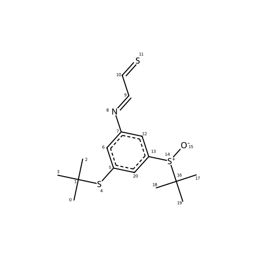 CC(C)(C)Sc1cc(N=CC=S)cc([S+]([O-])C(C)(C)C)c1